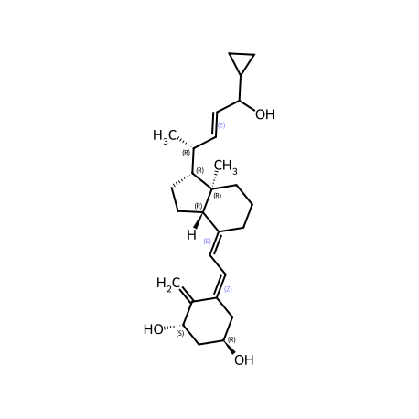 C=C1/C(=C\C=C2/CCC[C@]3(C)[C@@H]([C@H](C)/C=C/C(O)C4CC4)CC[C@@H]23)C[C@@H](O)C[C@@H]1O